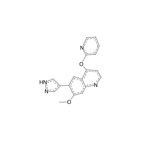 COc1cc2nccc(Oc3ccccn3)c2cc1-c1cn[nH]c1